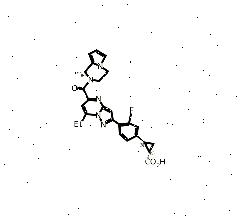 CCc1cc(C(=O)N2CCn3cccc3[C@H]2C)nc2cc(-c3ccc([C@H]4C[C@@H]4C(=O)O)cc3F)nn12